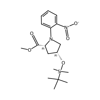 COC(=O)[C@H]1C[C@@H](O[Si](C)(C)C(C)(C)C)CN1c1ccccc1[N+](=O)[O-]